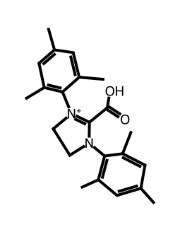 Cc1cc(C)c(N2CC[N+](c3c(C)cc(C)cc3C)=C2C(=O)O)c(C)c1